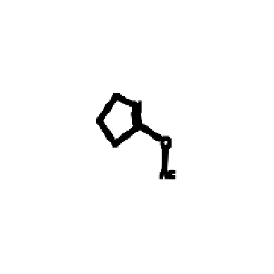 CC(=O)OC1=NCCC1